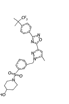 Cc1cc(-c2nc(-c3ccc(C(C)(C)C(F)(F)F)cc3)no2)nn1Cc1cccc(S(=O)(=O)N2CCC(O)CC2)c1